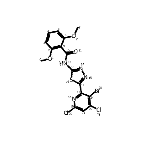 COc1cccc(OC)c1C(=O)Nc1nnc(-c2nc(Cl)cc(Cl)c2Br)s1